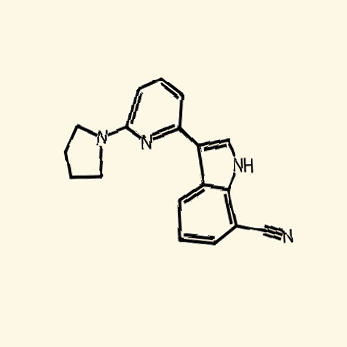 N#Cc1cccc2c(-c3cccc(N4CCCC4)n3)c[nH]c12